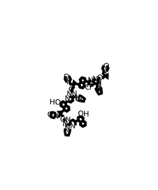 Oc1cc(-c2cnc3c(N4CC5CCC(C4)N5)nc(OCC4(CN5CCOCC5)CC4c4cccc5c(-c6ccc7c(N8CC9CCC(C8)N9)nc(OCC8(CN9CCOCC9)CC8c8ccc(Cl)c9c(-c%10ncc%11c(N%12CC%13CCC(C%12)N%13)nc(OCC%12(CN%13CCOCC%13)CC%12)nc%11n%10)cccc89)nc7n6)cc(O)cc45)nc3c2)c2ccccc2c1